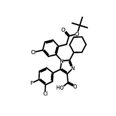 CC(C)(C)OC(=O)Cc1ccc(Cl)cc1-n1c(C2CCCCC2)nc(C(=O)O)c1-c1ccc(F)c(Cl)c1